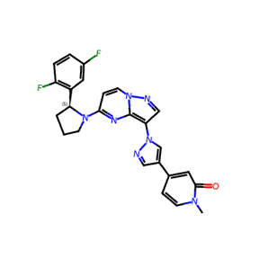 Cn1ccc(-c2cnn(-c3cnn4ccc(N5CCC[C@H]5c5cc(F)ccc5F)nc34)c2)cc1=O